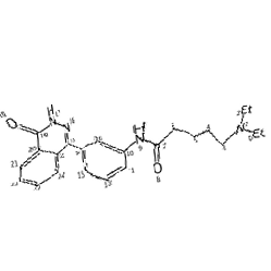 CCN(CC)CCCCC(=O)Nc1cccc(-c2n[nH]c(=O)c3ccccc23)c1